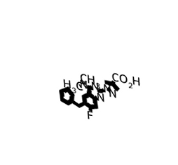 CN(C)c1nc(-n2cc(C(=O)O)cn2)nc2cc(F)c(Cc3ccccc3)cc12